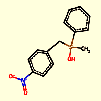 CS(O)(Cc1ccc([N+](=O)[O-])cc1)c1ccccc1